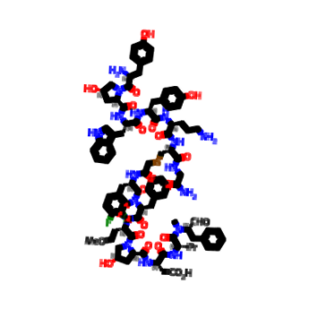 COCC[C@@H](C(=O)N1C[C@@H](O)C[C@@H]1C(=O)N[C@@H](CC(=O)O)C(=O)N[C@H](C(=O)N(C)[C@H](C=O)Cc1ccccc1)C(C)C)N(C)C(=O)[C@H](Cc1ccccc1)N(C)C(=O)[C@H](Cc1ccc(F)c(F)c1)NC(=O)CSC[C@H](NC(=O)[C@H](CCCN)NC(=O)[C@H](Cc1ccc(O)cc1)NC(=O)[C@H](Cc1c[nH]c2ccccc12)NC(=O)[C@H]1C[C@H](O)CN1C(=O)[C@@H](N)Cc1ccc(O)cc1)C(=O)NCC(N)=O